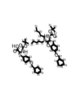 CC(C)(C)OC(=O)N[C@H](Cc1ccc(OCc2ccccc2)cc1)C(=O)O.CCCCCN(CCCCC)C(=O)[C@@H](Cc1ccc(OCc2ccccc2)cc1)NC(=O)OC(C)(C)C